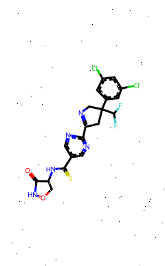 O=C1NOCC1NC(=S)c1cnc(C2=NCC(c3cc(Cl)cc(Cl)c3)(C(F)F)C2)nc1